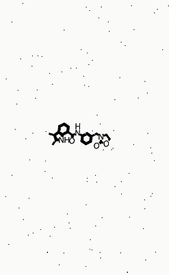 Cc1[nH]c2c(C(=O)Nc3cccc(CN4CCOC4=O)c3)cccc2c1C